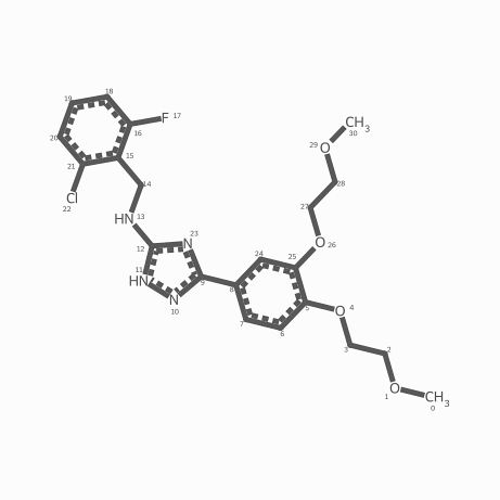 COCCOc1ccc(-c2n[nH]c(NCc3c(F)cccc3Cl)n2)cc1OCCOC